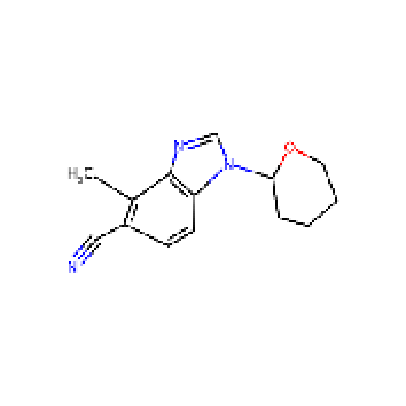 Cc1c(C#N)ccc2c1ncn2C1CCCCO1